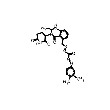 Cc1ccc(N=NC(=O)N=NCc2cccc3c2C(=O)N(C2CCC(=O)NC2=O)C(C)N3)cc1C